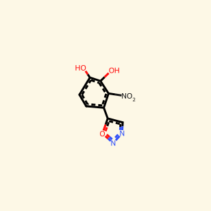 O=[N+]([O-])c1c(-c2cnno2)ccc(O)c1O